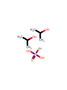 CC(C)O.CC(C)O.OP(O)(=S)S